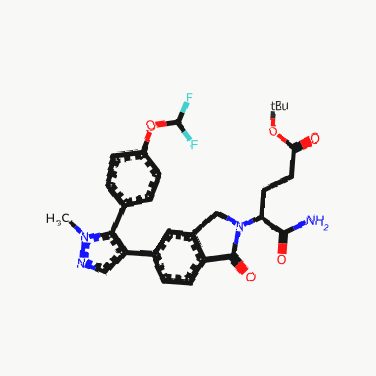 Cn1ncc(-c2ccc3c(c2)CN(C(CCC(=O)OC(C)(C)C)C(N)=O)C3=O)c1-c1ccc(OC(F)F)cc1